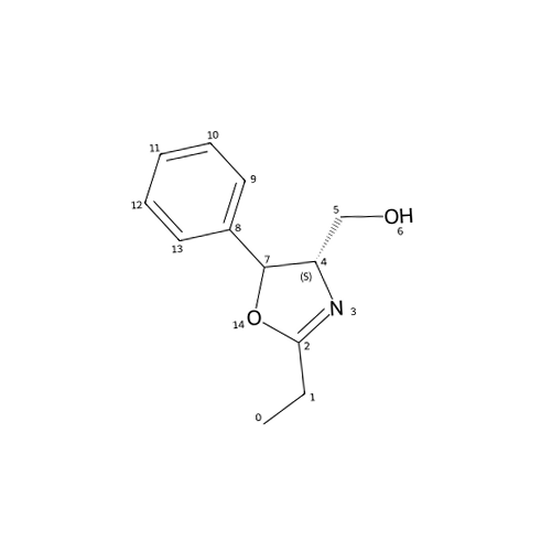 CCC1=N[C@@H](CO)C(c2ccccc2)O1